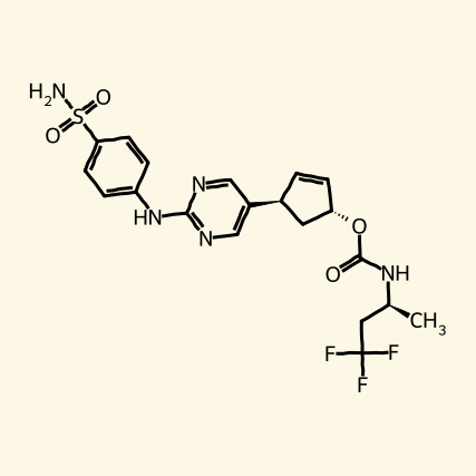 C[C@@H](CC(F)(F)F)NC(=O)O[C@H]1C=C[C@H](c2cnc(Nc3ccc(S(N)(=O)=O)cc3)nc2)C1